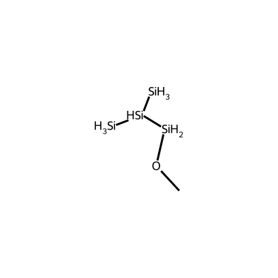 CO[SiH2][SiH]([SiH3])[SiH3]